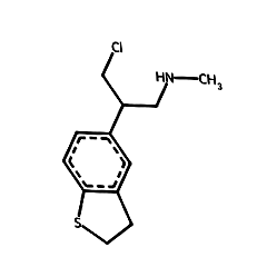 CNCC(CCl)c1ccc2c(c1)CCS2